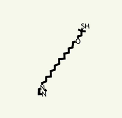 CC(C)(S)CCOCCCCCCCCCCCCCCCn1ccnc1